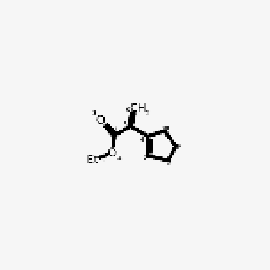 C=C(C(=O)OCC)C1=CCCC1